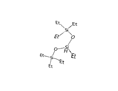 CC[SiH](O[Si](CC)(CC)CC)O[Si](CC)(CC)CC